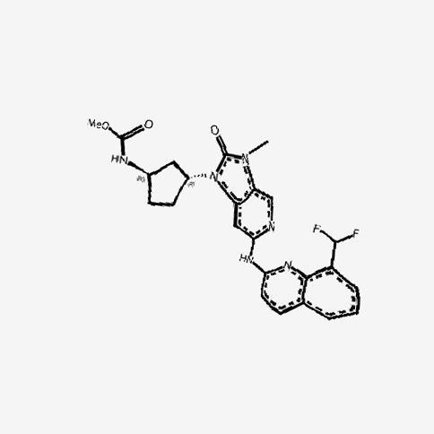 COC(=O)N[C@@H]1CC[C@@H](n2c(=O)n(C)c3cnc(Nc4ccc5cccc(C(F)F)c5n4)cc32)C1